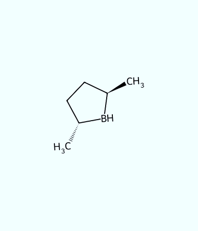 C[C@H]1B[C@H](C)CC1